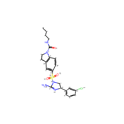 CCCCNC(=O)N1CCc2cc(S(=O)(=O)N3CC(c4cccc(Cl)c4)N=C3N)ccc21